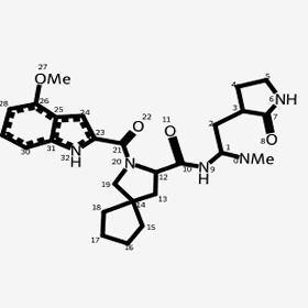 CNC(CC1CCNC1=O)NC(=O)C1CC2(CCCC2)CN1C(=O)c1cc2c(OC)cccc2[nH]1